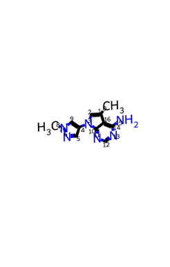 Cc1cn(-c2cnn(C)c2)c2ncnc(N)c12